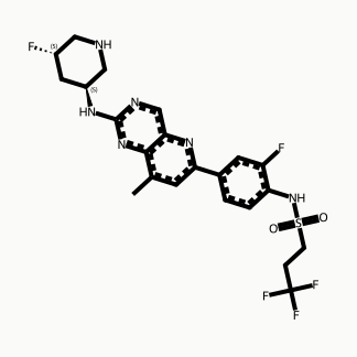 Cc1cc(-c2ccc(NS(=O)(=O)CCC(F)(F)F)c(F)c2)nc2cnc(N[C@@H]3CNC[C@@H](F)C3)nc12